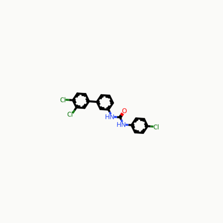 O=C(Nc1ccc(Cl)cc1)Nc1cccc(-c2ccc(Cl)c(Cl)c2)c1